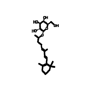 CC1=C(/C=C/C(C)=C/CCC(C)O[C@H]2O[C@H](CO)[C@@H](O)[C@H](O)[C@H]2O)C(C)(C)CCC1